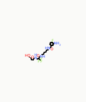 Nc1cc(C(=O)NCCCCCCNC(=O)/C(=C\N[C@H]2CC[C@@H](CO)O2)C(F)(F)F)ccc1F